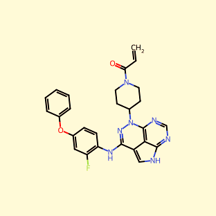 C=CC(=O)N1CCC(N2N=C(Nc3ccc(Oc4ccccc4)cc3F)c3c[nH]c4ncnc2c34)CC1